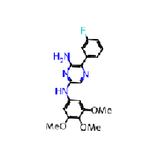 COc1cc(Nc2cnc(-c3cccc(F)c3)c(N)n2)cc(OC)c1OC